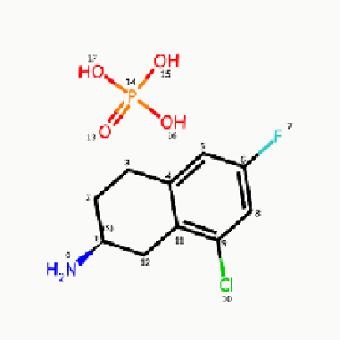 N[C@H]1CCc2cc(F)cc(Cl)c2C1.O=P(O)(O)O